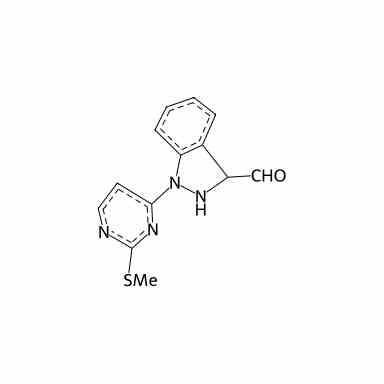 CSc1nccc(N2NC(C=O)c3ccccc32)n1